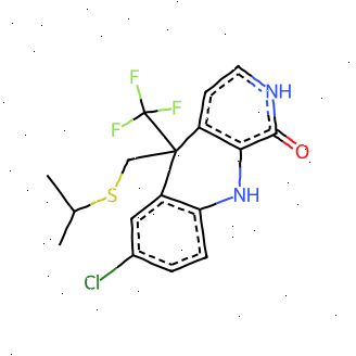 CC(C)SCC1(C(F)(F)F)c2cc(Cl)ccc2Nc2c1cc[nH]c2=O